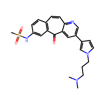 CN(C)CCCn1ccc(-c2cnc3ccc4ccc(NS(C)(=O)=O)cc4c(=O)c3c2)c1